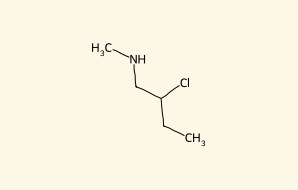 CCC(Cl)CNC